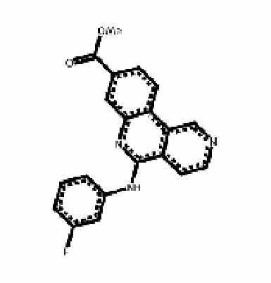 COC(=O)c1ccc2c(c1)nc(Nc1cccc(F)c1)c1ccncc12